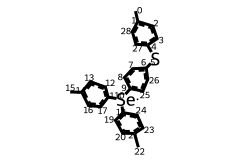 Cc1ccc(Sc2ccc([Se](c3ccc(C)cc3)c3ccc(C)cc3)cc2)cc1